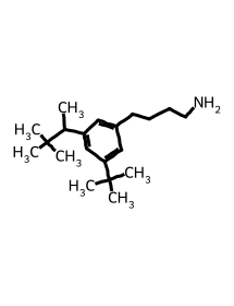 CC(c1cc(CCCCN)cc(C(C)(C)C)c1)C(C)(C)C